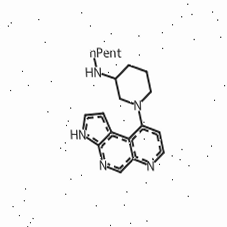 CCCCCNC1CCCN(c2ccnc3cnc4[nH]ccc4c23)C1